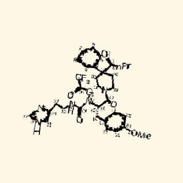 CCCC(=O)C1(c2ccccc2)CCN(C(=O)[C@H](Cc2ccc(OC)cc2)N(OC(=O)C(F)(F)F)C(=O)NCCc2c[nH]cn2)CC1